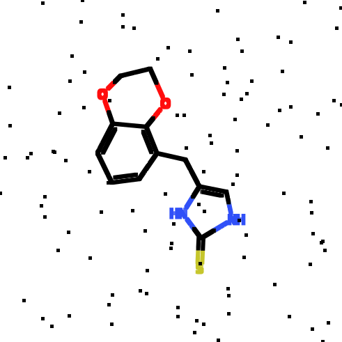 S=c1[nH]cc(Cc2cccc3c2OCCO3)[nH]1